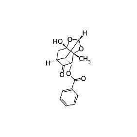 C[C@@]12CC(=O)[C@H]3C[C@]1(O)O[C@H](O2)[C@@H]3COC(=O)c1ccccc1